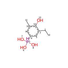 CCc1cc([PH](O)(O)O)cc(C)c1O